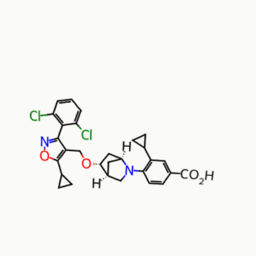 O=C(O)c1ccc(N2C[C@@H]3C[C@H]2C[C@H]3OCc2c(-c3c(Cl)cccc3Cl)noc2C2CC2)c(C2CC2)c1